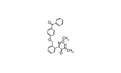 CNC(=O)/C(=N\OC)c1ccccc1COc1ccc(C(=O)c2ccccc2)cc1